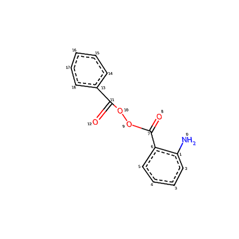 Nc1ccccc1C(=O)OOC(=O)c1ccccc1